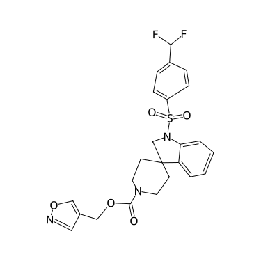 O=C(OCc1cnoc1)N1CCC2(CC1)CN(S(=O)(=O)c1ccc(C(F)F)cc1)c1ccccc12